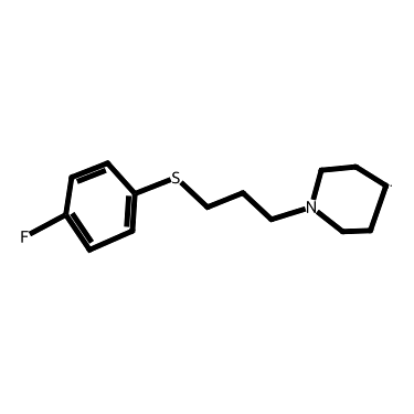 Fc1ccc(SCCCN2CC[CH]CC2)cc1